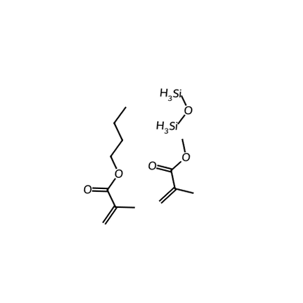 C=C(C)C(=O)OC.C=C(C)C(=O)OCCCC.[SiH3]O[SiH3]